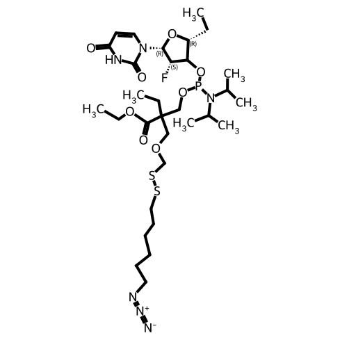 CCOC(=O)C(CC)(COCSSCCCCCCN=[N+]=[N-])COP(OC1[C@@H](CC)O[C@@H](n2ccc(=O)[nH]c2=O)[C@H]1F)N(C(C)C)C(C)C